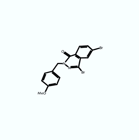 COc1ccc(Cn2nc(Br)c3cc(Br)ccc3c2=O)cc1